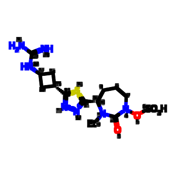 CCN1C(=O)N(OS(=O)(=O)O)CCC[C@H]1c1nnc([C@H]2C[C@H](NC(=N)N)C2)s1